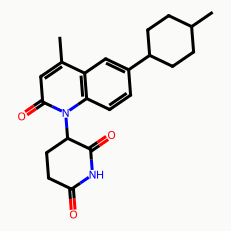 Cc1cc(=O)n(C2CCC(=O)NC2=O)c2ccc(C3CCC(C)CC3)cc12